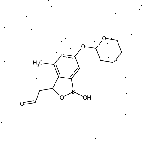 Cc1cc(OC2CCCCO2)cc2c1C(CC=O)OB2O